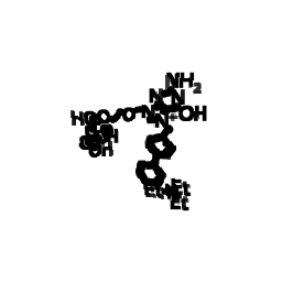 CCN(CC)CC.Nc1nc(O)c2c(n1)n(COCCOP(=O)(O)OP(=O)(O)O)c[n+]2Cc1ccc(-c2ccccc2)cc1